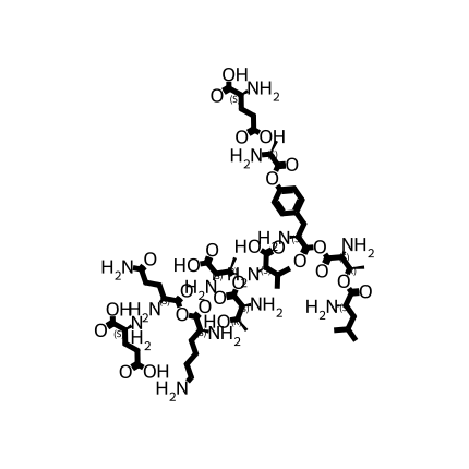 CC(C)C[C@H](N)C(=O)O[C@H](C)[C@H](N)C(=O)OC(=O)[C@@H](N)Cc1ccc(OC(=O)[C@H](C)N)cc1.CC(C)[C@H](N)C(=O)O.C[C@@H](O)[C@H](N)C(=O)O[C@H](C)[C@H](N)C(=O)O.NCCCC[C@H](N)C(=O)OC(=O)[C@@H](N)CCC(N)=O.N[C@@H](CCC(=O)O)C(=O)O.N[C@@H](CCC(=O)O)C(=O)O